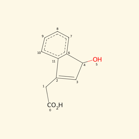 O=C(O)CC1=CC(O)c2ccccc21